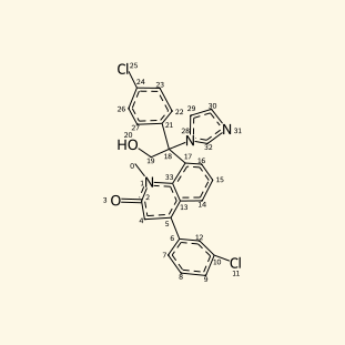 Cn1c(=O)cc(-c2cccc(Cl)c2)c2cccc(C(CO)(c3ccc(Cl)cc3)n3ccnc3)c21